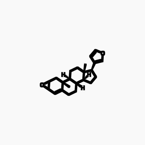 C[C@]12CC[C@H]3[C@@H](CCC4=CC5OC5C[C@@]43C)[C@@H]1CC[C@@H]2c1ccoc1